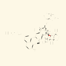 C#Cc1c(F)ccc2cc(OCOC)cc(-c3nc4c5c(nc(OC[C@]67CCCN6C[C@@H](F)C7)nc5c3F)N3C[C@@H]5CC[C@H]([C@@H]3CO4)N5C(=O)OC(C)(C)C)c12